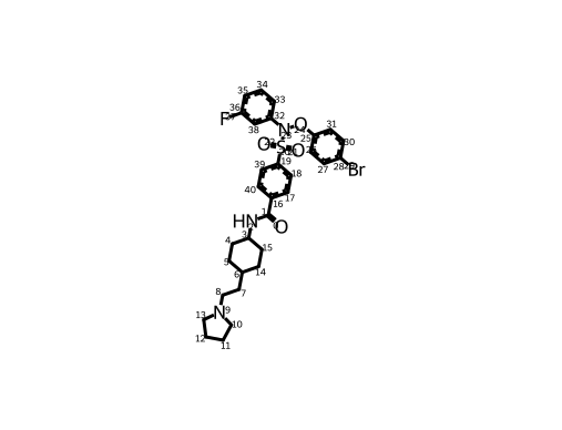 O=C(NC1CCC(CCN2CCCC2)CC1)c1ccc(S(=O)(=O)N(Oc2ccc(Br)cc2)c2cccc(F)c2)cc1